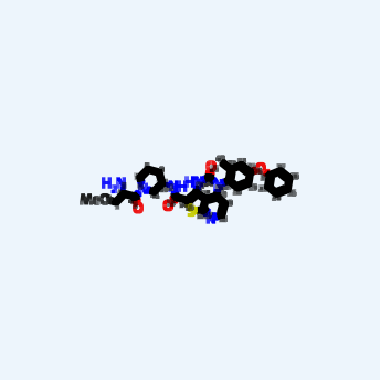 COC[C@@H](N)C(=O)N1CCC[C@@H](NC(=O)c2sc3nccc4c3c2NC(=O)N4c2ccc(Oc3ccccc3)cc2C)C1